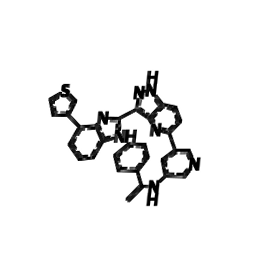 C=C(Nc1cncc(-c2ccc3[nH]nc(-c4nc5c(-c6ccsc6)cccc5[nH]4)c3n2)c1)c1ccccc1